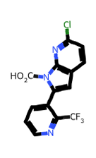 O=C(O)n1c(-c2cccnc2C(F)(F)F)cc2ccc(Cl)nc21